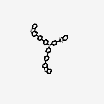 c1ccc2oc(-c3ccc(N(c4ccc(-c5ccc(-c6ccc7sc8ccccc8c7c6)cc5)cc4)c4ccc(-c5ccc(-c6ccc7sc8ccccc8c7c6)cc5)cc4)cc3)nc2c1